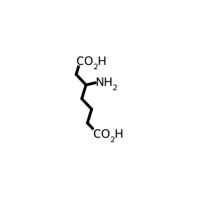 NC(CCCC(=O)O)CC(=O)O